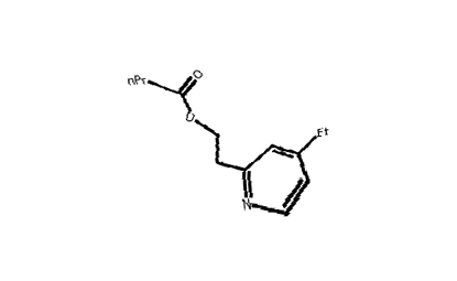 CCCC(=O)OCCc1cc(CC)ccn1